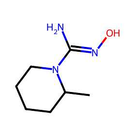 CC1CCCCN1C(N)=NO